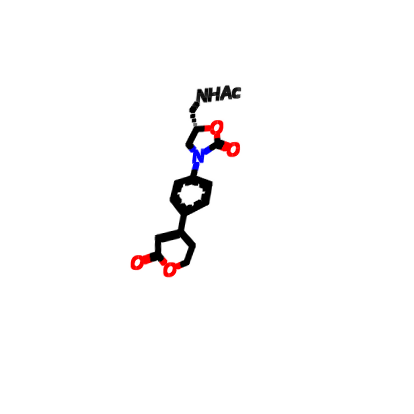 CC(=O)NC[C@H]1CN(c2ccc(C3=CC(=O)OCC3)cc2)C(=O)O1